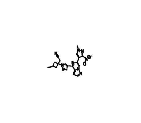 Cn1cc(-c2cn3nccc3c(-c3cnn([C@]4(CC#N)C[C@@H](C)C4)c3)n2)c([N+](=O)[O-])n1